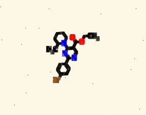 CCOC(=O)c1cnc(-c2ccc(Br)cc2)nc1N1CCCCC1C